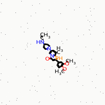 CCCNC1CCN(C2=CN3C(=O)C=C(c4ccc(OC)c(OC)c4)PC3C(C)=C2)CC1